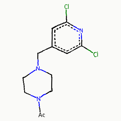 CC(=O)N1CCN(Cc2cc(Cl)nc(Cl)c2)CC1